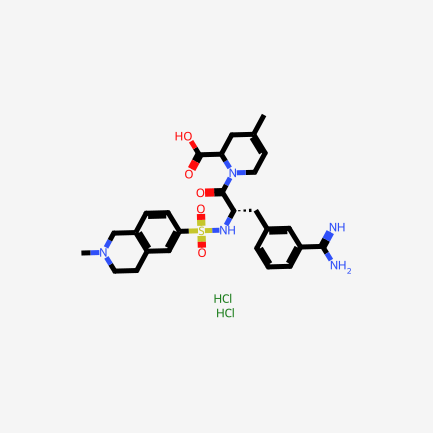 CC1=CCN(C(=O)[C@H](Cc2cccc(C(=N)N)c2)NS(=O)(=O)c2ccc3c(c2)CCN(C)C3)C(C(=O)O)C1.Cl.Cl